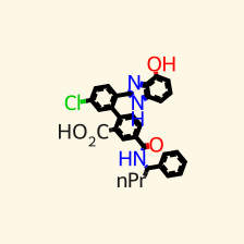 CCCC(NC(=O)c1ccc(-c2cc(Cl)ccc2-c2nc3c(O)cccc3[nH]2)c(C(=O)O)c1)c1ccccc1